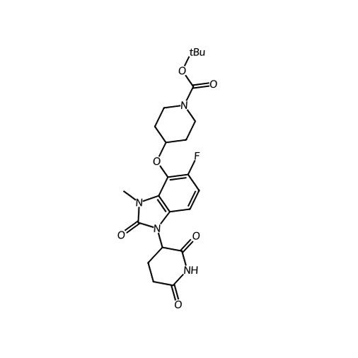 Cn1c(=O)n(C2CCC(=O)NC2=O)c2ccc(F)c(OC3CCN(C(=O)OC(C)(C)C)CC3)c21